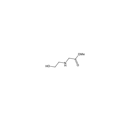 COC(=O)CNCCO